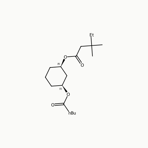 CCCCC(=O)O[C@H]1CCC[C@@H](OC(=O)CC(C)(C)CC)C1